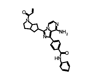 C=CC(=O)N1CCC2CC(c3nc(-c4ccc(C(=O)Nc5ccccc5)cc4)c4c(N)nccn34)CC21